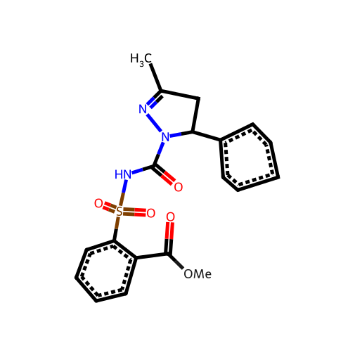 COC(=O)c1ccccc1S(=O)(=O)NC(=O)N1N=C(C)CC1c1ccccc1